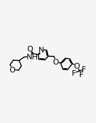 O=C(NCC1CCOCC1)c1ccc(COc2ccc(OC(F)(F)F)cc2)cn1